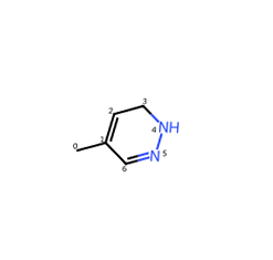 CC1=CCNN=C1